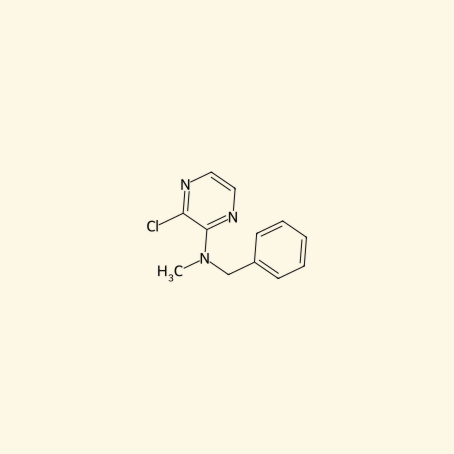 CN(Cc1ccccc1)c1nccnc1Cl